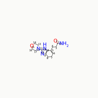 NC(=O)CCC1=CCCc2nc(N3CCOCC3)[nH]c21